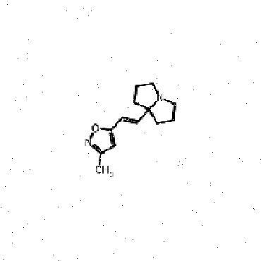 Cc1cc(/C=C/C23CCCN2CCC3)on1